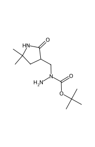 CC1(C)CC(CN(N)C(=O)OC(C)(C)C)C(=O)N1